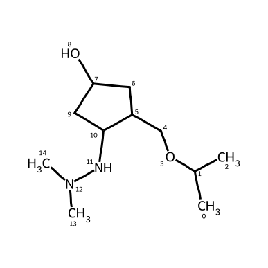 CC(C)OCC1CC(O)CC1NN(C)C